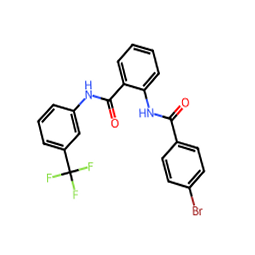 O=C(Nc1ccccc1C(=O)Nc1cccc(C(F)(F)F)c1)c1ccc(Br)cc1